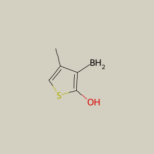 Bc1c(C)csc1O